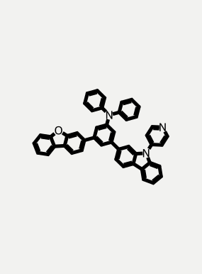 c1ccc(N(c2ccccc2)c2cc(-c3ccc4c(c3)oc3ccccc34)cc(-c3ccc4c5ccccc5n(-c5ccncc5)c4c3)c2)cc1